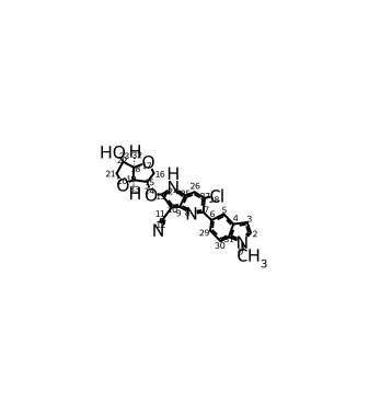 Cn1ccc2cc(-c3nc4c(C#N)c(O[C@@H]5CO[C@H]6[C@@H]5OC[C@H]6O)[nH]c4cc3Cl)ccc21